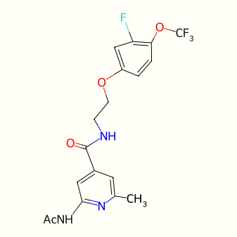 CC(=O)Nc1cc(C(=O)NCCOc2ccc(OC(F)(F)F)c(F)c2)cc(C)n1